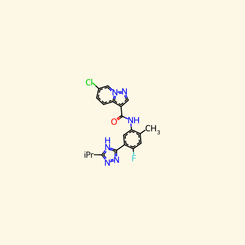 Cc1cc(F)c(-c2nnc(C(C)C)[nH]2)cc1NC(=O)c1cnn2cc(Cl)ccc12